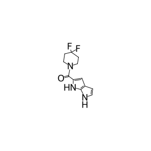 O=C(c1cc2cc[nH]c2[nH]1)N1CCC(F)(F)CC1